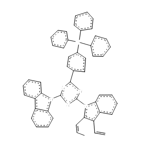 C=Cc1c(/C=C\C)n(-c2nc(-c3ccc([Si](c4ccccc4)(c4ccccc4)c4ccccc4)cc3)nc(-n3c4ccccc4c4ccccc43)n2)c2ccccc12